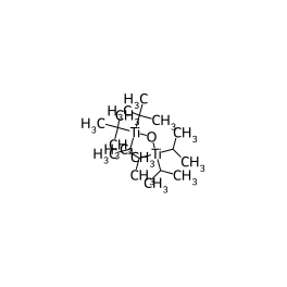 C[CH](C)[Ti]([O][Ti]([CH](C)C)([C](C)(C)C)[C](C)(C)C)([CH](C)C)[CH](C)C